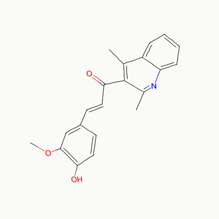 COc1cc(/C=C/C(=O)c2c(C)nc3ccccc3c2C)ccc1O